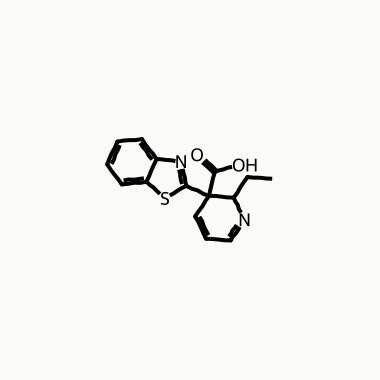 CCC1N=CC=CC1(C(=O)O)c1nc2ccccc2s1